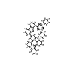 c1ccc(-c2nc(-c3ccccc3)nc(-c3cccc4c3sc3c(-c5ccc6c(c5)sc5cccc(-n7c8ccccc8c8ccccc87)c56)cccc34)n2)cc1